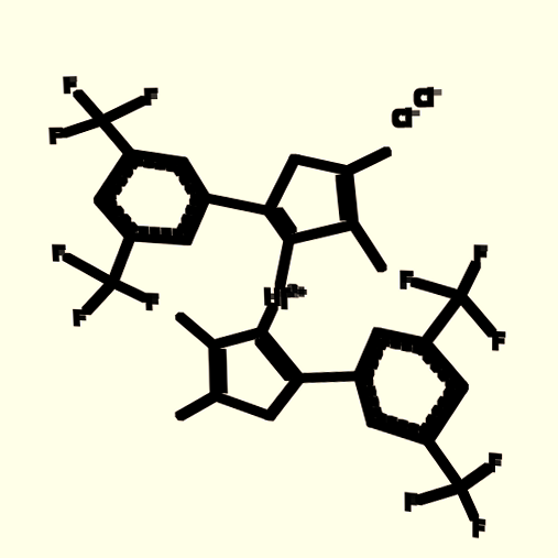 CC1=C(C)[C]([Hf+2][C]2=C(c3cc(C(F)(F)F)cc(C(F)(F)F)c3)CC(C)=C2C)=C(c2cc(C(F)(F)F)cc(C(F)(F)F)c2)C1.[Cl-].[Cl-]